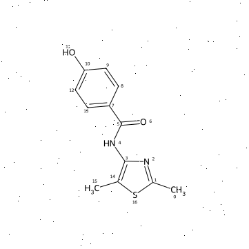 Cc1nc(NC(=O)c2ccc(O)cc2)c(C)s1